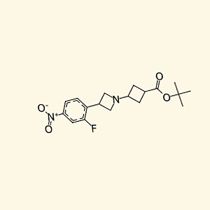 CC(C)(C)OC(=O)C1CC(N2CC(c3ccc([N+](=O)[O-])cc3F)C2)C1